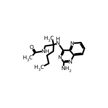 CCCCC(C)(CNC(C)=O)Nc1nc(N)nc2cccnc12